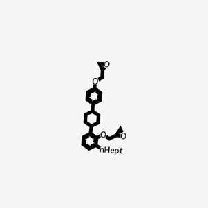 CCCCCCCc1cccc(C2CCC(c3ccc(OCC4CO4)cc3)CC2)c1OCC1CO1